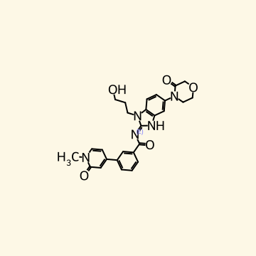 Cn1ccc(-c2cccc(C(=O)/N=c3\[nH]c4cc(N5CCOCC5=O)ccc4n3CCCO)c2)cc1=O